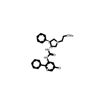 COCCN1C[C@H](NC(=O)Nc2cc(Cl)cnc2-c2ccccc2)[C@@H](c2ccccc2)C1